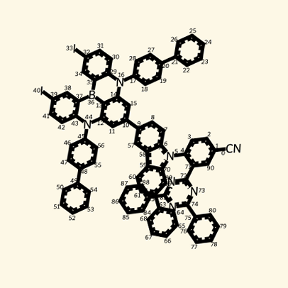 N#Cc1ccc(-n2c3ccc(-c4cc5c6c(c4)N(c4ccc(-c7ccccc7)cc4)c4ccc(I)cc4B6c4cc(I)ccc4N5c4ccc(-c5ccccc5)cc4)cc3c3ccc(-c4ccccc4)cc32)c(-c2nc(-c3ccccc3)nc(-c3ccccc3)n2)c1